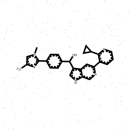 Cn1cc(C(F)(F)F)nc1-c1ccc(C(O)c2c[nH]c3cnc(-c4cccnc4C4CC4)cc23)cc1